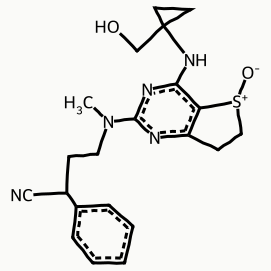 CN(CCC(C#N)c1ccccc1)c1nc2c(c(NC3(CO)CC3)n1)[S+]([O-])CC2